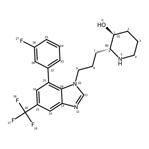 O[C@H]1CCCN[C@@H]1CCCn1cnc2cc(C(F)(F)F)cc(-c3cccc(F)c3)c21